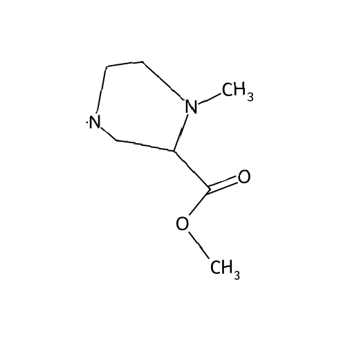 COC(=O)C1C[N]CCN1C